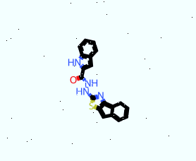 O=C(NNc1nc2c(s1)=CC1=CC=CCC=21)c1cc2ccccc2[nH]1